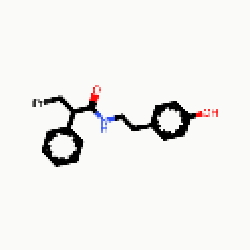 CC(C)CC(C(=O)NCCc1ccc(O)cc1)c1ccccc1